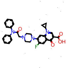 O=C(O)c1cn(C2CC2)c2cc(N3CCN(CC(=O)N(c4ccccc4)c4ccccc4)CC3)c(F)cc2c1=O